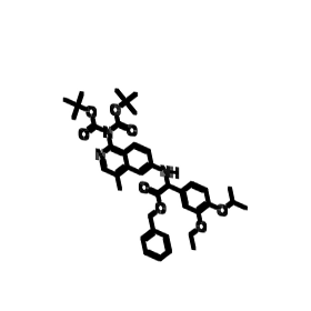 CCOc1cc(C(Nc2ccc3c(N(C(=O)OC(C)(C)C)C(=O)OC(C)(C)C)ncc(C)c3c2)C(=O)OCc2ccccc2)ccc1OC(C)C